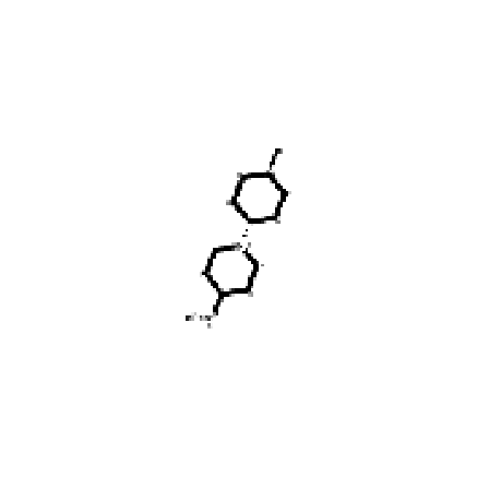 CCCCCC1CCN([C@H]2CC[C@H](C)CC2)CC1